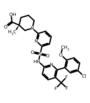 COc1ccc(Cl)cc1-c1nc(NS(=O)(=O)c2cccc(N3CCC[C@@](C)(C(=O)O)C3)n2)ccc1C(F)(F)F